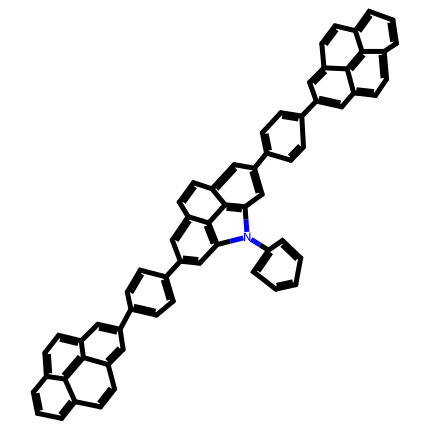 c1ccc(-n2c3cc(-c4ccc(-c5cc6ccc7cccc8ccc(c5)c6c78)cc4)cc4ccc5cc(-c6ccc(-c7cc8ccc9cccc%10ccc(c7)c8c9%10)cc6)cc2c5c43)cc1